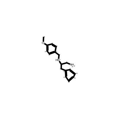 COc1ccc(CNC(CN)Cc2ccccc2)cc1